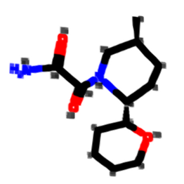 C[C@H]1CC[C@H](C2CCCCO2)N(C(=O)C(N)=O)C1